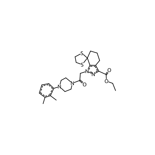 CCOC(=O)c1nn(CC(=O)N2CCN(c3cccc(C)c3C)CC2)c2c1CCCC21SCCS1